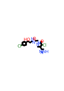 O=c1c(Cl)c(-c2c[nH]nn2)cnn1Cc1nc(C[C@H](O)c2ccc(Cl)cc2)no1